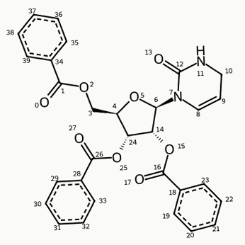 O=C(OC[C@H]1O[C@@H](N2C=CCNC2=O)[C@H](OC(=O)c2ccccc2)[C@@H]1OC(=O)c1ccccc1)c1ccccc1